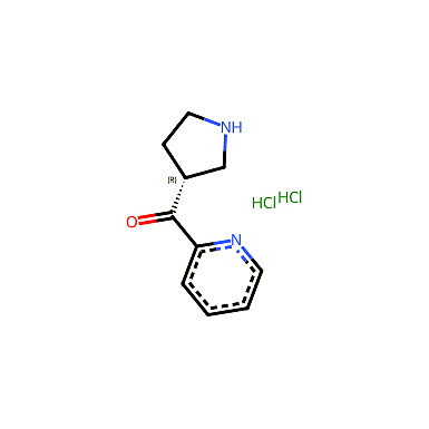 Cl.Cl.O=C(c1ccccn1)[C@@H]1CCNC1